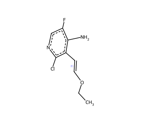 CCO/C=C/c1c(Cl)ncc(F)c1N